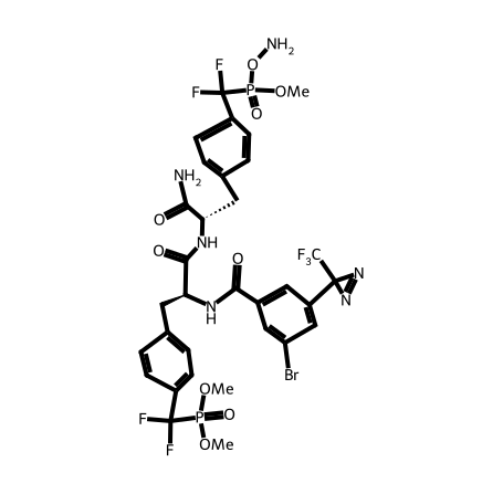 COP(=O)(OC)C(F)(F)c1ccc(C[C@H](NC(=O)c2cc(Br)cc(C3(C(F)(F)F)N=N3)c2)C(=O)N[C@@H](Cc2ccc(C(F)(F)P(=O)(OC)ON)cc2)C(N)=O)cc1